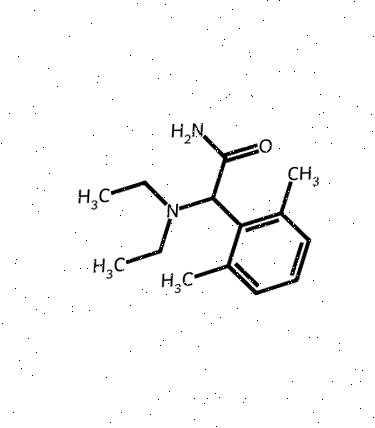 CCN(CC)C(C(N)=O)c1c(C)cccc1C